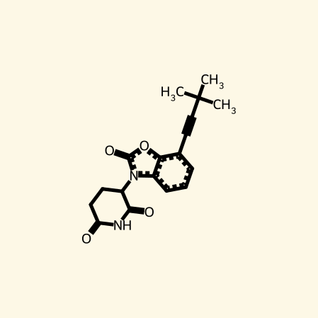 CC(C)(C)C#Cc1cccc2c1oc(=O)n2C1CCC(=O)NC1=O